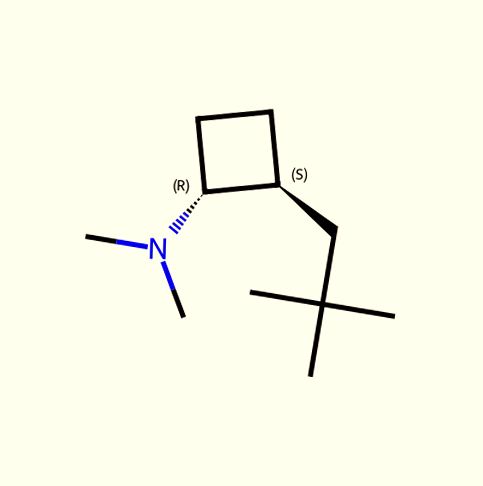 CN(C)[C@@H]1CC[C@H]1CC(C)(C)C